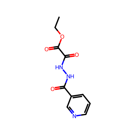 CCOC(=O)C(=O)NNC(=O)c1cccnc1